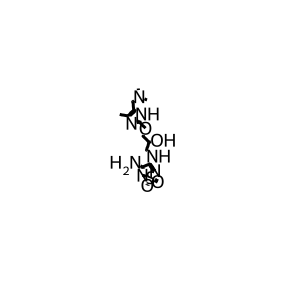 Cc1nc(OCC(O)CNC2=NS(=O)(=O)N=C2N)[nH]c1CN(C)C